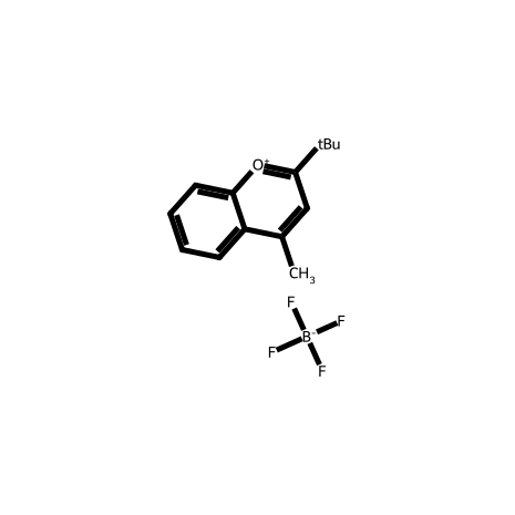 Cc1cc(C(C)(C)C)[o+]c2ccccc12.F[B-](F)(F)F